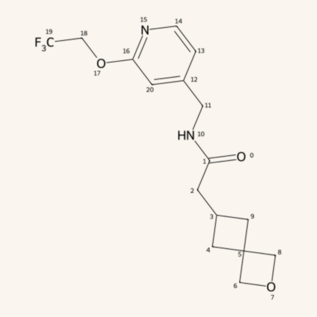 O=C(CC1CC2(COC2)C1)NCc1ccnc(OCC(F)(F)F)c1